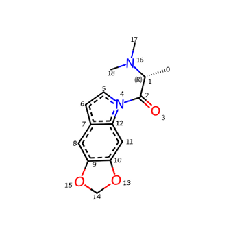 C[C@H](C(=O)n1ccc2cc3c(cc21)OCO3)N(C)C